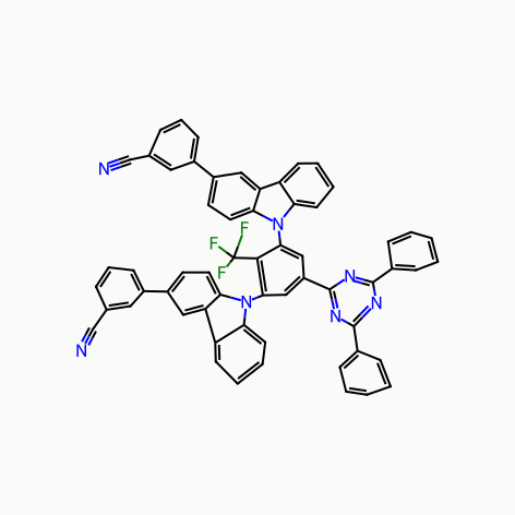 N#Cc1cccc(-c2ccc3c(c2)c2ccccc2n3-c2cc(-c3nc(-c4ccccc4)nc(-c4ccccc4)n3)cc(-n3c4ccccc4c4cc(-c5cccc(C#N)c5)ccc43)c2C(F)(F)F)c1